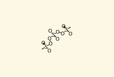 CS(=O)(=O)OOS(=O)(=O)OOS(C)(=O)=O